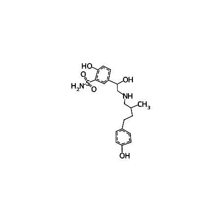 CC(CCc1ccc(O)cc1)CNCC(O)c1ccc(O)c(S(N)(=O)=O)c1